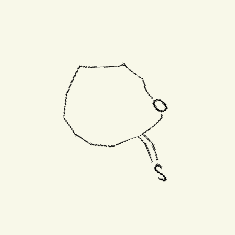 S=C1CCCCCCO1